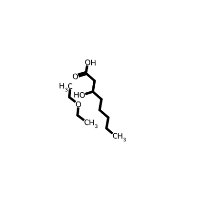 CCCCCC(O)CC(=O)O.CCOCC